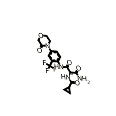 NC(=O)[C@@H](NC(=O)C1CC1)C(=O)Nc1ccc(N2CCOCC2=O)cc1C(F)(F)F